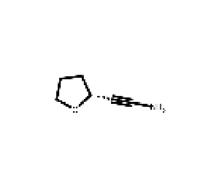 NC#C[C@H]1CCCO1